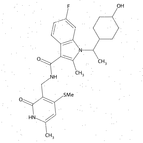 CSc1cc(C)[nH]c(=O)c1CNC(=O)c1c(C)n(C(C)C2CCC(O)CC2)c2cc(F)ccc12